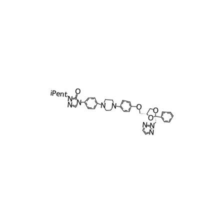 CCCC(C)n1ncn(-c2ccc(N3CCN(c4ccc(OC[C@@H]5CO[C@@](Cn6nccn6)(c6ccccc6)O5)cc4)CC3)cc2)c1=O